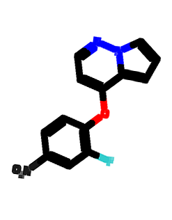 O=[N+]([O-])c1ccc(Oc2ccnn3cccc23)c(F)c1